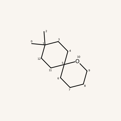 CC1(C)CCC2(CCCCO2)CC1